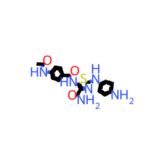 CC(=O)Nc1ccc(C(=O)Nc2sc(Nc3ccc(N)cc3)nc2C(N)=O)cc1